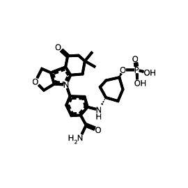 CC1(C)CC(=O)c2c3c(n(-c4ccc(C(N)=O)c(N[C@H]5CC[C@H](OP(=O)(O)O)CC5)c4)c2C1)COC3